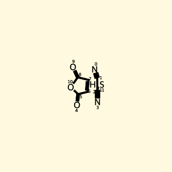 N#CC#N.O=C1C=CC(=O)O1.S